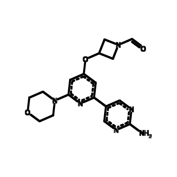 Nc1ncc(-c2cc(OC3CN(C=O)C3)cc(N3CCOCC3)n2)cn1